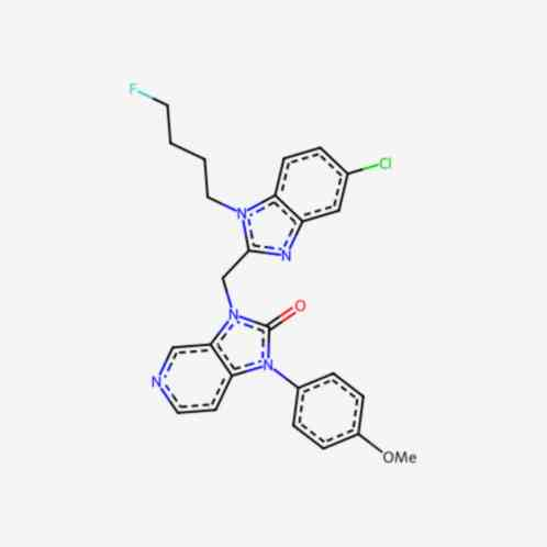 COc1ccc(-n2c(=O)n(Cc3nc4cc(Cl)ccc4n3CCCCF)c3cnccc32)cc1